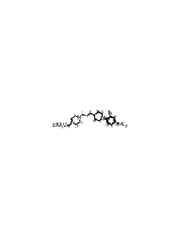 CCOC(=O)CN1CCN(CCCC2CCN(c3ccc([N+](=O)[O-])cc3F)CC2)CC1